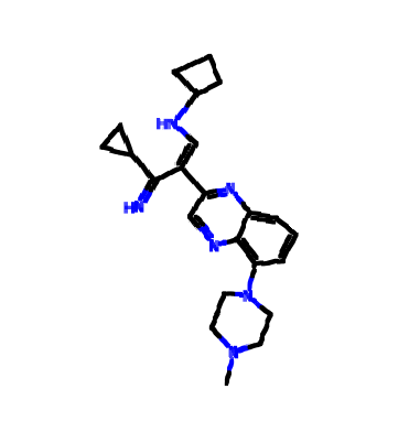 CN1CCN(c2cccc3nc(/C(=C/NC4CCC4)C(=N)C4CC4)cnc23)CC1